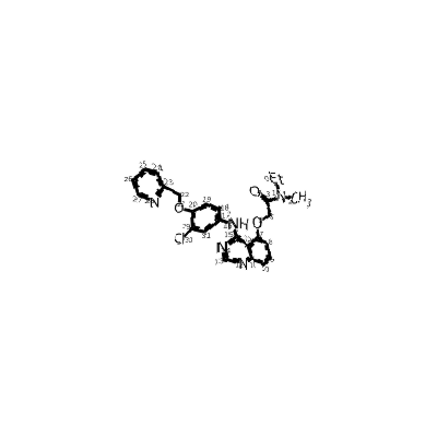 CCN(C)C(=O)COc1cccc2ncnc(Nc3ccc(OCc4ccccn4)c(Cl)c3)c12